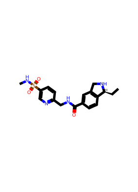 CC[C@@H]1NCc2cc(C(=O)NCc3ccc(S(=O)(=O)NC)cn3)ccc21